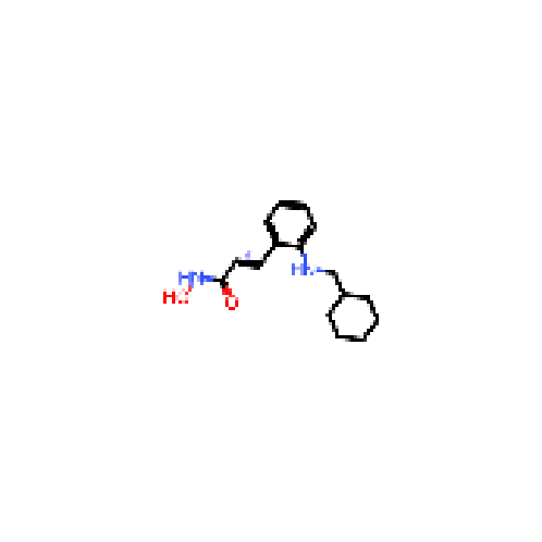 O=C(/C=C/c1ccccc1NCC1CCCCC1)NO